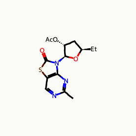 CC[C@@H]1C[C@@H](OC(C)=O)[C@H](n2c(=O)sc3cnc(C)nc32)O1